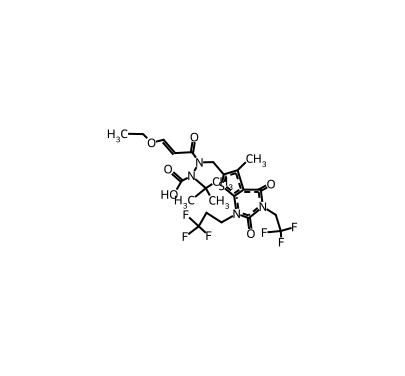 CCOC=CC(=O)N(Cc1sc2c(c1C)c(=O)n(CC(F)(F)F)c(=O)n2CCC(F)(F)F)N(C(=O)O)C(C)(C)C